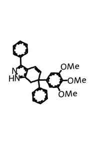 COc1cc(C2(c3ccccc3)C=Cc3c(-c4ccccc4)n[nH]c3C2)cc(OC)c1OC